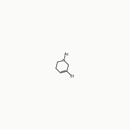 CCC1=CCCN(C(C)=O)C1